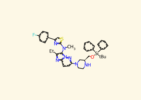 CCc1nc2ccc(N3CCN[C@H](CO[Si](c4ccccc4)(c4ccccc4)C(C)(C)C)C3)nn2c1N(C)c1nc(-c2ccc(F)cc2)cs1